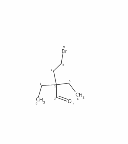 CCC([C]=O)(CC)CCBr